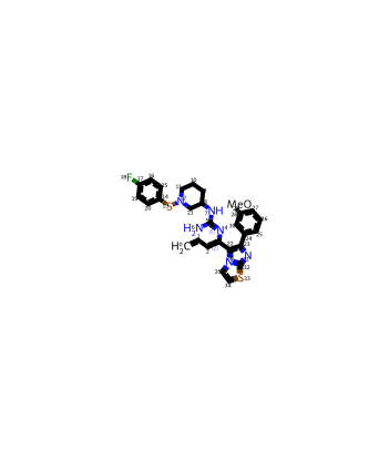 C=C/C=C(\N=C(/N)NC1CCCN(Sc2ccc(F)cc2)C1)c1c(-c2cccc(OC)c2)nc2sccn12